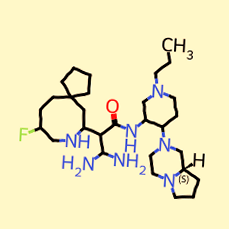 CCCN1CCC(N2CCN3CCC[C@H]3C2)C(NC(=O)C(C(N)N)C2CC3(CCCC3)CCC(F)CN2)C1